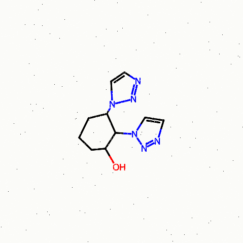 OC1CCCC(n2ccnn2)C1n1ccnn1